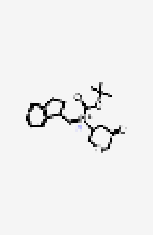 CC(C)(C)OC(=O)/[N+](=C\C1CCc2ccccc21)C1COCC(=O)C1